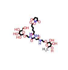 C[C@@H]1O[C@@H](OCCNC(=O)C[C@H](NC(=O)CCCCC(=O)ON2C(=O)CCC2=O)C(=O)NCCO[C@H]2O[C@H](CO)[C@@H](O)[C@H](O)[C@@H]2O)[C@@H](O)[C@H](O)[C@@H]1O